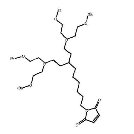 CCOCCN(CCOC(C)(C)C)CCC(CCCCCCN1C(=O)C=CC1=O)CCN(CCOC(C)C)CCOC(C)(C)C